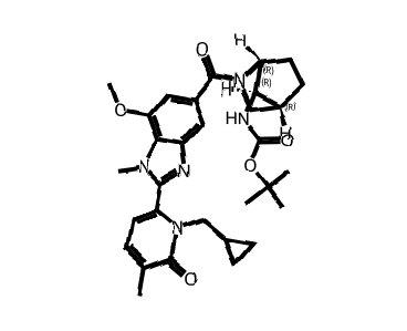 COc1cc(C(=O)N2C[C@H]3CC[C@@H]2[C@@H]3NC(=O)OC(C)(C)C)cc2nc(-c3ccc(C)c(=O)n3CC3CC3)n(C)c12